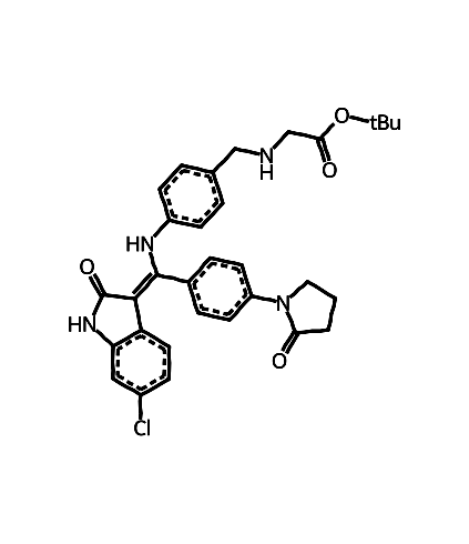 CC(C)(C)OC(=O)CNCc1ccc(N/C(=C2\C(=O)Nc3cc(Cl)ccc32)c2ccc(N3CCCC3=O)cc2)cc1